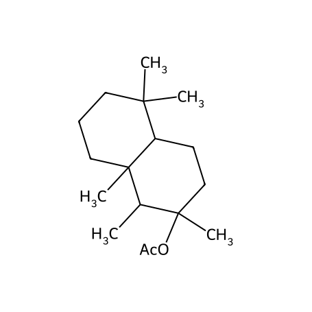 CC(=O)OC1(C)CCC2C(C)(C)CCCC2(C)C1C